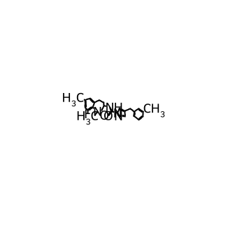 Cc1cccc(Cc2cnn(C(=O)NC3CCc4cc(C)cc(F)c4N(C)C3=O)c2)c1